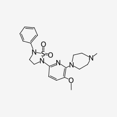 COc1ccc(N2CCN(c3ccccc3)S2(=O)=O)nc1N1CCN(C)CC1